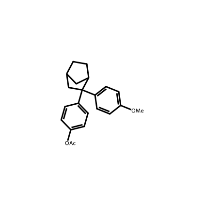 COc1ccc(C2(c3ccc(OC(C)=O)cc3)CC3CCC2C3)cc1